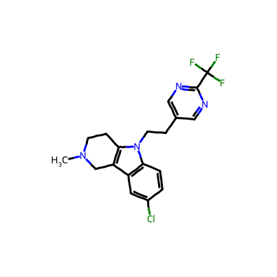 CN1CCc2c(c3cc(Cl)ccc3n2CCc2cnc(C(F)(F)F)nc2)C1